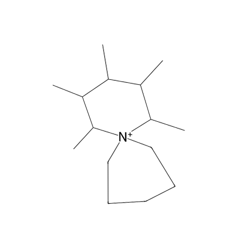 CC1C(C)C(C)[N+]2(CCCCC2)C(C)C1C